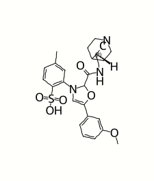 COc1cccc(C2=CN(c3cc(C)ccc3S(=O)(=O)O)C(C(=O)N[C@H]3CN4CCC3CC4)O2)c1